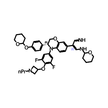 CCCN1CC(Oc2c(F)cc(N3c4ccc(/C(C=N)=C/NC5CCCCO5)cc4OC[C@H]3c3ccc(OC4CCCCO4)cc3)cc2F)C1